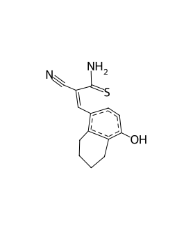 N#CC(=Cc1ccc(O)c2c1CCCC2)C(N)=S